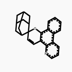 C1=CC2(Oc3c1c1ncccc1c1ccccc31)C1CC3CC(C1)CC2C3